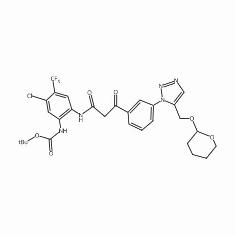 CC(C)(C)OC(=O)Nc1cc(Cl)c(C(F)(F)F)cc1NC(=O)CC(=O)c1cccc(-n2nncc2COC2CCCCO2)c1